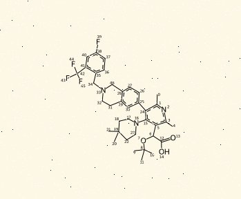 Cc1nc(C)c(C(OC(C)(C)C)C(=O)O)c(N2CCC(C)(C)CC2)c1-c1ccc2c(c1)CCN(Cc1ccc(F)cc1C(F)(F)F)C2